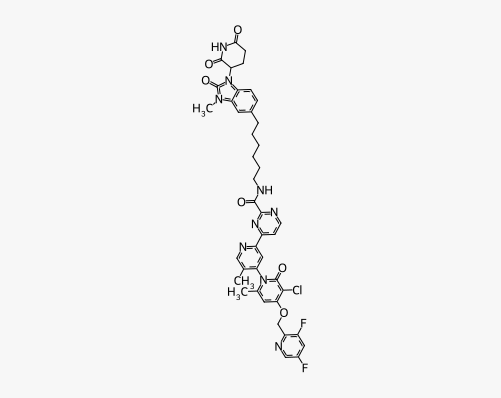 Cc1cnc(-c2ccnc(C(=O)NCCCCCCc3ccc4c(c3)n(C)c(=O)n4C3CCC(=O)NC3=O)n2)cc1-n1c(C)cc(OCc2ncc(F)cc2F)c(Cl)c1=O